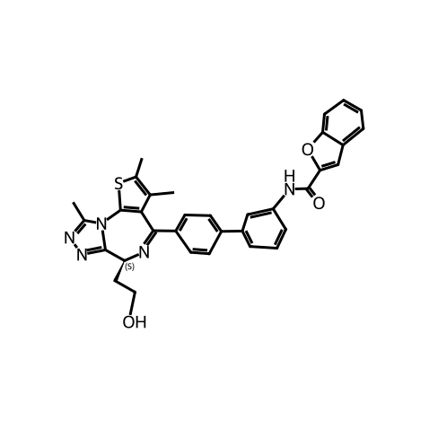 Cc1sc2c(c1C)C(c1ccc(-c3cccc(NC(=O)c4cc5ccccc5o4)c3)cc1)=N[C@@H](CCO)c1nnc(C)n1-2